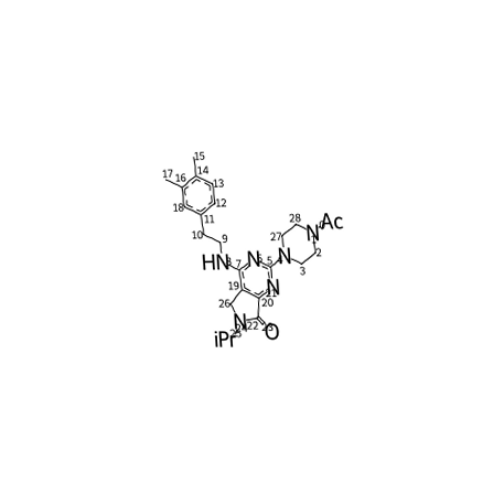 CC(=O)N1CCN(c2nc(NCCc3ccc(C)c(C)c3)c3c(n2)C(=O)N(C(C)C)C3)CC1